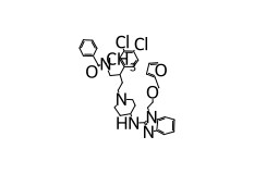 CN(CC(CCN1CCC(Nc2nc3ccccc3n2CCOCc2ccco2)CC1)c1ccc(Cl)c(Cl)c1)C(=O)c1ccccc1